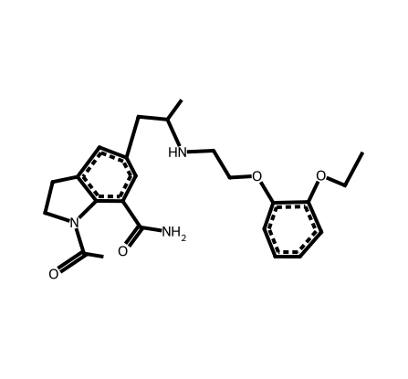 CCOc1ccccc1OCCNC(C)Cc1cc2c(c(C(N)=O)c1)N(C(C)=O)CC2